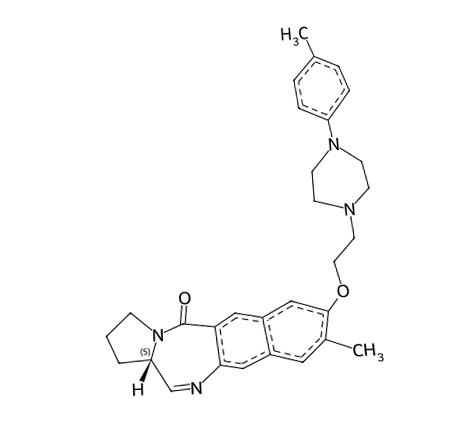 Cc1ccc(N2CCN(CCOc3cc4cc5c(cc4cc3C)N=C[C@@H]3CCCN3C5=O)CC2)cc1